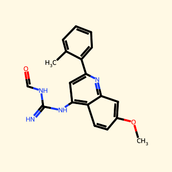 COc1ccc2c(NC(=N)NC=O)cc(-c3ccccc3C)nc2c1